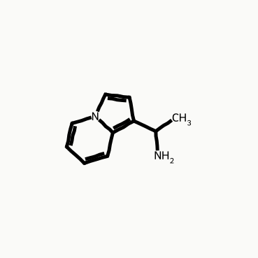 CC(N)c1ccn2ccccc12